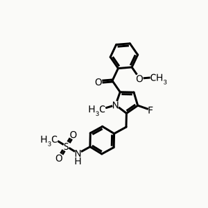 COc1ccccc1C(=O)c1cc(F)c(Cc2ccc(NS(C)(=O)=O)cc2)n1C